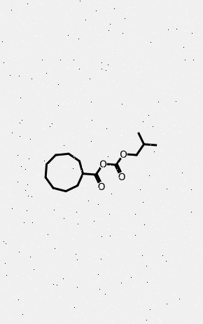 CC(C)COC(=O)OC(=O)C1CCCCCCCC1